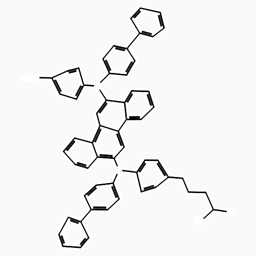 CCCCCCc1ccc(N(c2ccc(-c3ccccc3)cc2)c2cc3c4ccccc4c(N(c4ccc(CCCC(CC)CC)cc4)c4ccc(-c5ccccc5)cc4)cc3c3ccccc23)cc1